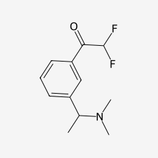 CC(c1cccc(C(=O)C(F)F)c1)N(C)C